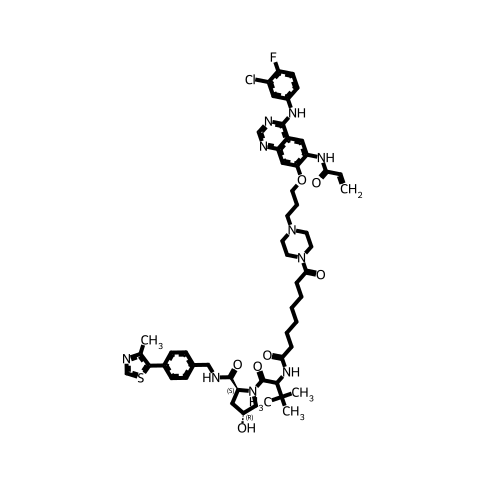 C=CC(=O)Nc1cc2c(Nc3ccc(F)c(Cl)c3)ncnc2cc1OCCCN1CCN(C(=O)CCCCCCC(=O)NC(C(=O)N2C[C@H](O)C[C@H]2C(=O)NCc2ccc(-c3scnc3C)cc2)C(C)(C)C)CC1